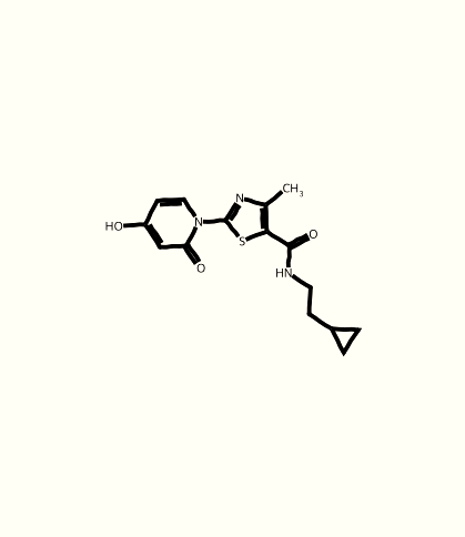 Cc1nc(-n2ccc(O)cc2=O)sc1C(=O)NCCC1CC1